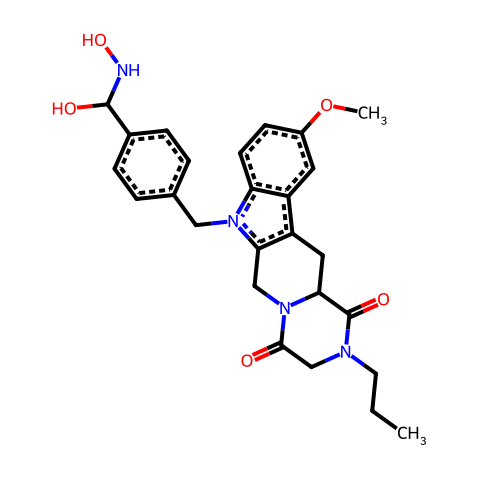 CCCN1CC(=O)N2Cc3c(c4cc(OC)ccc4n3Cc3ccc(C(O)NO)cc3)CC2C1=O